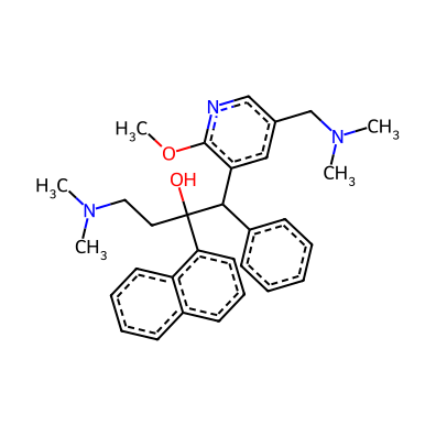 COc1ncc(CN(C)C)cc1C(c1ccccc1)C(O)(CCN(C)C)c1cccc2ccccc12